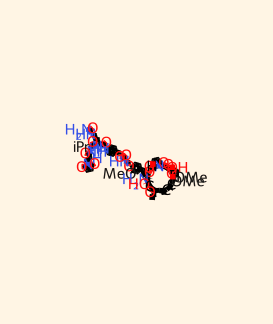 C=CC[C@@H]1/C=C(\C)C[C@H](C)C[C@H](OC)[C@H]2O[C@@](O)(C(=O)C(=O)N3CCCC[C@H]3C(=O)O[C@H](/C(C)=C/C3CC[C@@H](OCNC(=O)OCc4ccc(NC(=O)[C@H](CCCNC(N)=O)NC(=O)[C@@H](NC(=O)CCN5C(=O)C=CC5=O)C(C)C)cc4)[C@H](OC)C3)[C@H](N)[C@@H](O)CC1=O)[C@H](C)C[C@@H]2OC